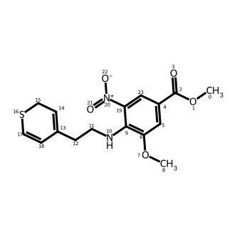 COC(=O)c1cc(OC)c(NCCC2=CCSC=C2)c([N+](=O)[O-])c1